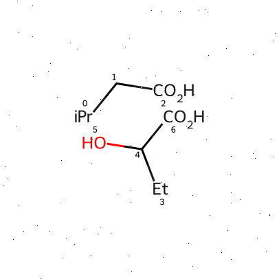 CC(C)CC(=O)O.CCC(O)C(=O)O